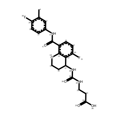 Cc1cc(NC(=O)c2ccc(F)c3c2OCCC3NC(=O)NCCC(=O)O)ccc1F